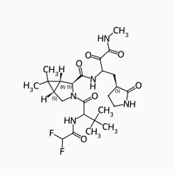 CNC(=O)C(=O)C(C[C@@H]1CCNC1=O)NC(=O)[C@@H]1[C@@H]2[C@H](CN1C(=O)C(NC(=O)C(F)F)C(C)(C)C)C2(C)C